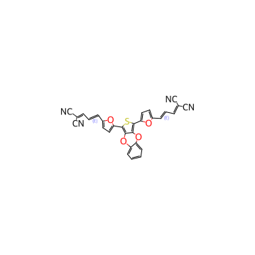 N#CC(C#N)=C/C=C/c1ccc(-c2sc(-c3ccc(/C=C/C=C(C#N)C#N)o3)c3c2Oc2ccccc2O3)o1